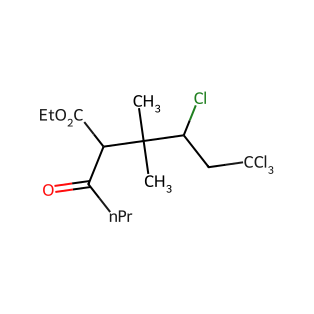 CCCC(=O)C(C(=O)OCC)C(C)(C)C(Cl)CC(Cl)(Cl)Cl